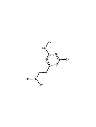 CC(C)Nc1nc(S)nc(CCN(C(C)C)C(C)C)n1